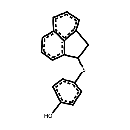 Oc1ccc(SC2Cc3cccc4cccc2c34)cc1